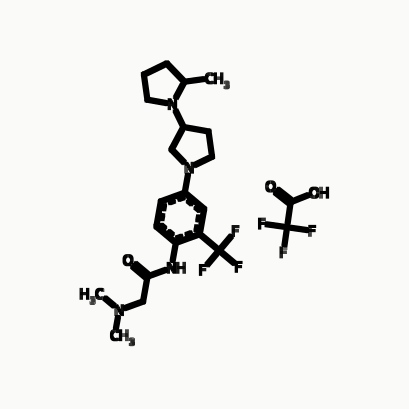 CC1CCCN1C1CCN(c2ccc(NC(=O)CN(C)C)c(C(F)(F)F)c2)C1.O=C(O)C(F)(F)F